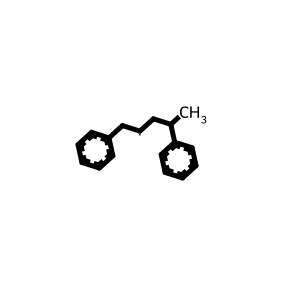 CC(C[CH]Cc1ccccc1)c1ccccc1